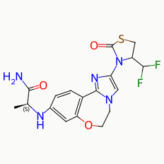 C[C@H](Nc1ccc2c(c1)OCCn1cc(N3C(=O)SCC3C(F)F)nc1-2)C(N)=O